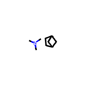 C1CC2CC1C2.CN(C)C